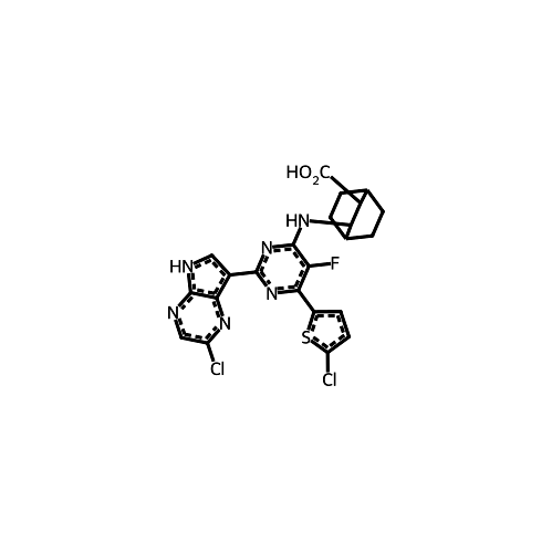 O=C(O)C1C2CCC(CC2)C1Nc1nc(-c2c[nH]c3ncc(Cl)nc23)nc(-c2ccc(Cl)s2)c1F